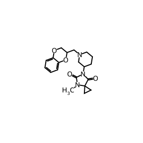 CN1C(=O)N(C2CCCN(CC3COc4ccccc4O3)C2)C(=O)C12CC2